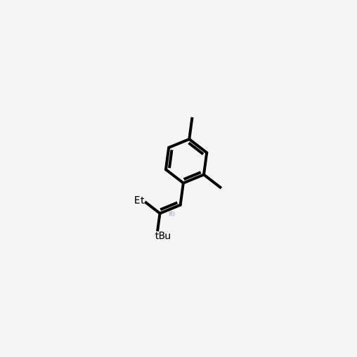 CC/C(=C\c1ccc(C)cc1C)C(C)(C)C